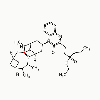 CCOP(=O)(CCc1nc2ccccc2n([C@@H]2CC3C(C)CC[C@H](C2)N3[C@H]2CC(C)C(C)[C@H]3C[C@@H](C2)C3)c1=O)OCC